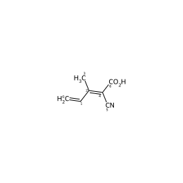 C=CC(C)=C(C#N)C(=O)O